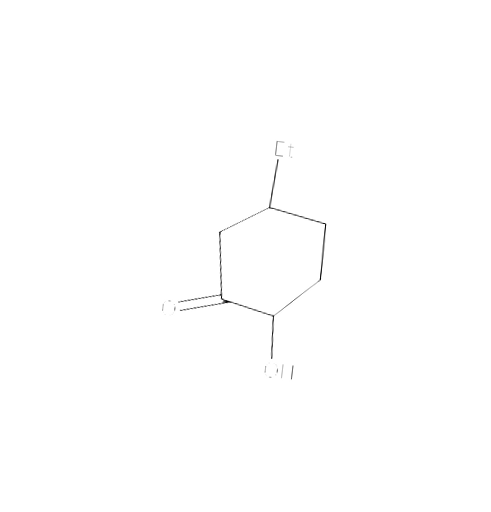 CCC1CCC(O)C(=O)C1